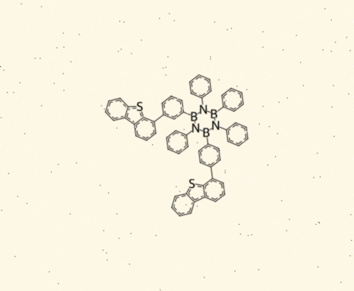 c1ccc(B2N(c3ccccc3)B(c3ccc(-c4cccc5c4sc4ccccc45)cc3)N(c3ccccc3)B(c3cccc(-c4cccc5c4sc4ccccc45)c3)N2c2ccccc2)cc1